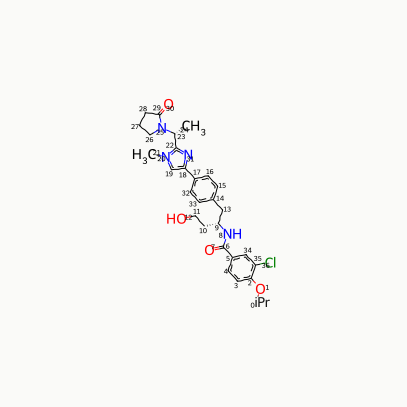 CC(C)Oc1ccc(C(=O)N[C@H](CCO)Cc2ccc(-c3cn(C)c([C@@H](C)N4CCCC4=O)n3)cc2)cc1Cl